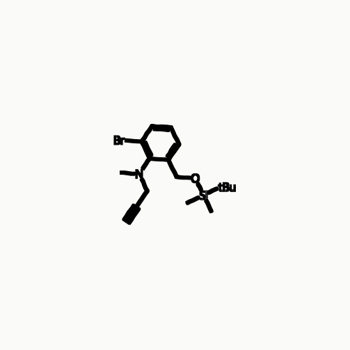 C#CCN(C)c1c(Br)cccc1CO[Si](C)(C)C(C)(C)C